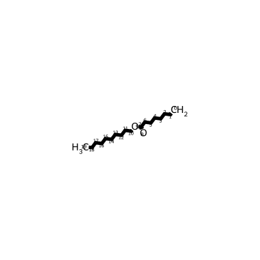 C=CCCCCCC(=O)OCCCCCCCCCC